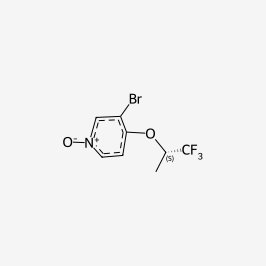 C[C@H](Oc1cc[n+]([O-])cc1Br)C(F)(F)F